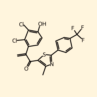 C=C(C(=O)c1sc(-c2ccc(C(F)(F)F)cc2)nc1C)c1ccc(O)c(Cl)c1Cl